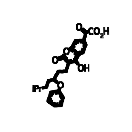 CC(C)CCC(CCc1c(O)c2ccc(C(=O)C(=O)O)cc2oc1=O)Oc1ccccc1